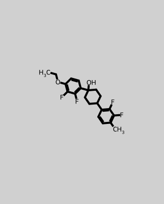 CCOc1ccc(C2(O)CCC(c3ccc(C)c(F)c3F)CC2)c(F)c1F